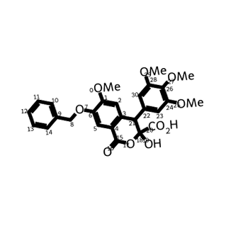 COc1cc2c(cc1OCc1ccccc1)C(=O)OC(O)(C(=O)O)C2c1cc(OC)c(OC)c(OC)c1